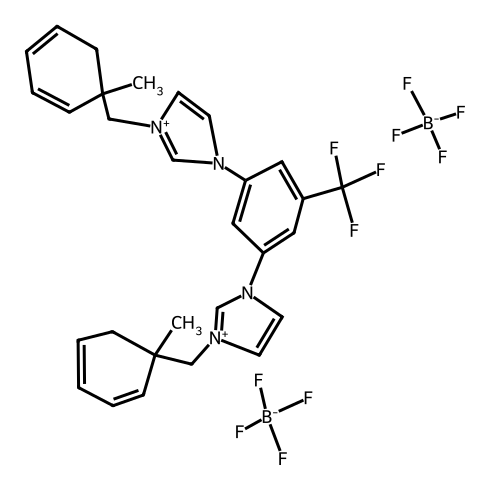 CC1(C[n+]2ccn(-c3cc(-n4cc[n+](CC5(C)C=CC=CC5)c4)cc(C(F)(F)F)c3)c2)C=CC=CC1.F[B-](F)(F)F.F[B-](F)(F)F